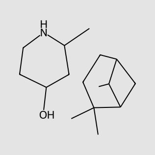 CC1C2CCC(C)(C)C1C2.CC1CC(O)CCN1